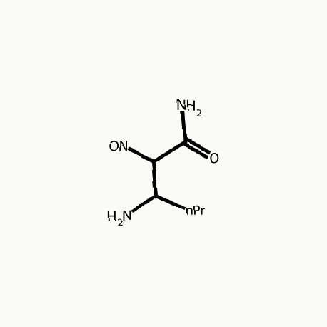 CCCC(N)C(N=O)C(N)=O